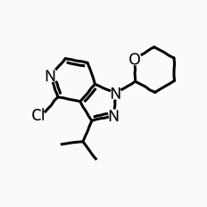 CC(C)c1nn(C2CCCCO2)c2ccnc(Cl)c12